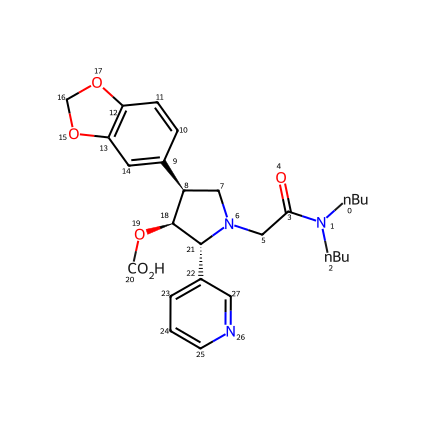 CCCCN(CCCC)C(=O)CN1C[C@H](c2ccc3c(c2)OCO3)[C@H](OC(=O)O)[C@H]1c1cccnc1